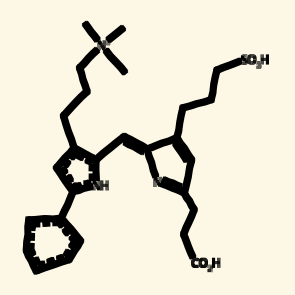 C[N+](C)(C)CCCc1cc(-c2ccccc2)[nH]c1/C=C1\N=C(CCC(=O)O)C=C1CCCS(=O)(=O)O